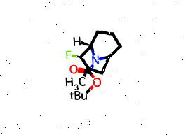 C[C@@H]1CC2CCC[C@@H]([C@@H]1F)N2C(=O)OC(C)(C)C